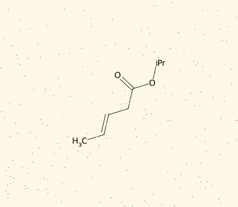 CC=CCC(=O)OC(C)C